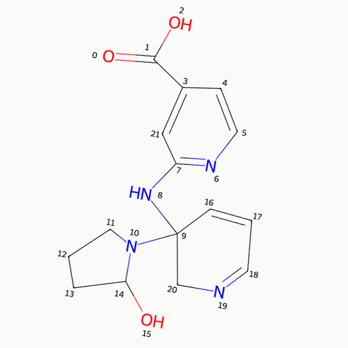 O=C(O)c1ccnc(NC2(N3CCCC3O)C=CC=NC2)c1